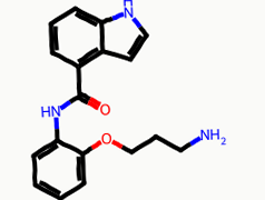 NCCCOc1ccccc1NC(=O)c1cccc2[nH]ccc12